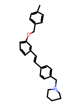 Cc1ccc(COc2cccc(C=Cc3ccc(CN4CCCCC4)cc3)c2)cc1